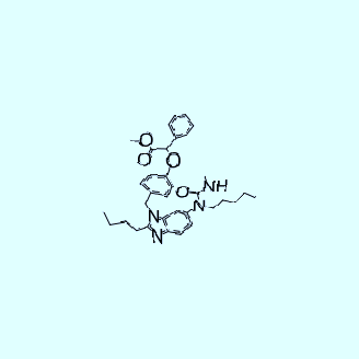 CCCCCN(C(=O)NC)c1ccc2nc(CCCC)n(Cc3ccc(OC(C(=O)OC)c4ccccc4)cc3)c2c1